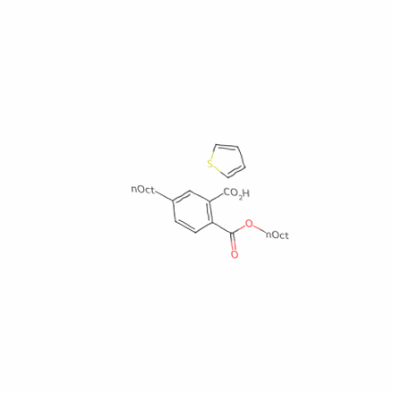 CCCCCCCCOC(=O)c1ccc(CCCCCCCC)cc1C(=O)O.c1ccsc1